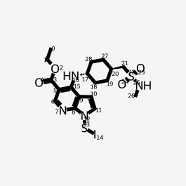 CCOC(=O)c1cnc2c(ccn2SI)c1N[C@H]1CC[C@H](CS(=O)(=O)NC)CC1